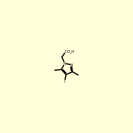 Cc1nn(CC(=O)O)c(C)c1I